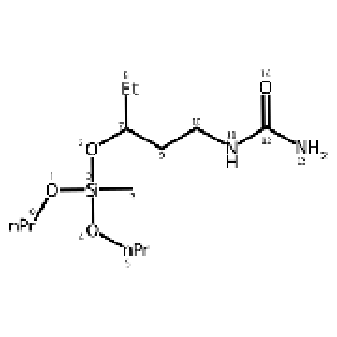 CCCO[Si](C)(OCCC)OC(CC)CCNC(N)=O